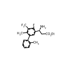 CCOC(=O)C[C@H](N)c1cc(-c2ccccc2C)c(C)c(C(F)(F)F)c1F